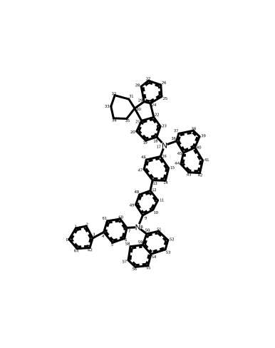 c1ccc(-c2ccc(N(c3ccc(-c4ccc(N(c5ccc6c(c5)-c5ccccc5C65CCCCC5)c5cccc6ccccc56)cc4)cc3)c3cccc4ccccc34)cc2)cc1